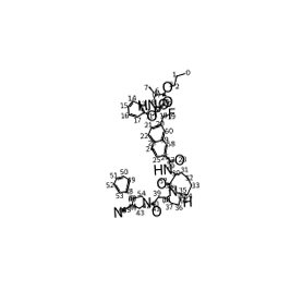 CCCOC(=O)[C@H](C)NP(=O)(Oc1ccccc1)C(F)c1ccc2ccc(C(=O)NC3CCCC[C@H]4CC[C@@H](CC(=O)N5C[C@@H](C#N)[C@H](c6ccccc6)C5)N4C3=O)cc2c1